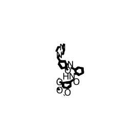 COc1cc(C(=O)Nc2ccccc2-c2nc3cc(CN4CCN(C)CC4)ccc3o2)cc(OC)c1OC